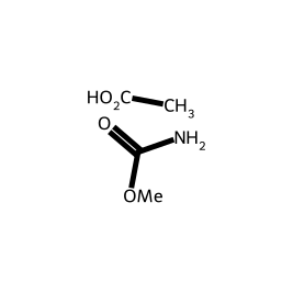 CC(=O)O.COC(N)=O